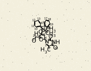 CC1=C/[N+](=C2/CC(O[Si](c3ccccc3)(c3ccccc3)C(C)(C)C)C(C=O)O2)C(=O)NC1=O